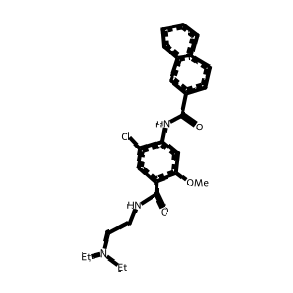 CCN(CC)CCNC(=O)c1cc(Cl)c(NC(=O)c2ccc3ccccc3c2)cc1OC